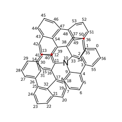 c1ccc(-c2ccccc2N(c2ccccc2-c2cccc3cccc(-c4ccccc4)c23)c2ccccc2-c2cccc3cccc(-c4ccccc4)c23)cc1